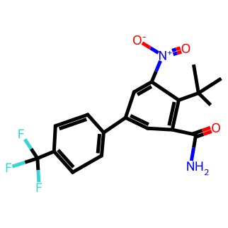 CC(C)(C)c1c(C(N)=O)cc(-c2ccc(C(F)(F)F)cc2)cc1[N+](=O)[O-]